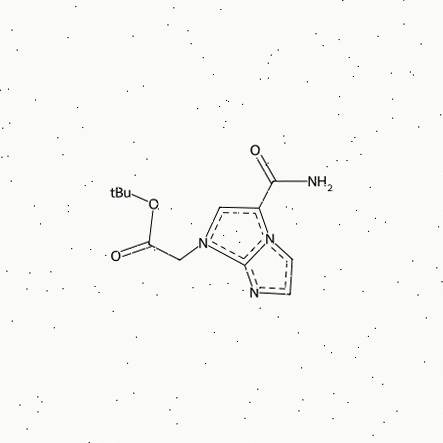 CC(C)(C)OC(=O)Cn1cc(C(N)=O)n2ccnc12